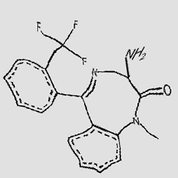 CN1C(=O)C(N)N=C(c2ccccc2C(F)(F)F)c2ccccc21